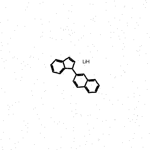 C1=CC(c2ccc3ccccc3c2)c2ccccc21.[LiH]